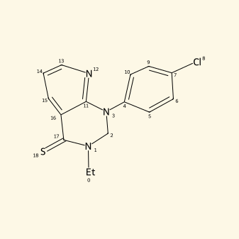 CCN1CN(c2ccc(Cl)cc2)c2ncccc2C1=S